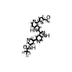 CC(=O)c1ccc(-c2nccc3[nH]c(-c4n[nH]c5cnc(-c6cncc(NC(=O)C(C)(C)C)c6)cc45)cc23)s1